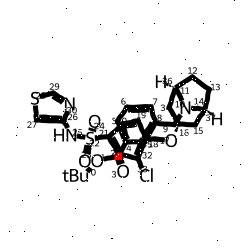 CC(C)(C)OC(=O)c1cccc(CN2[C@@H]3CC[C@H]2C[C@H](Oc2ccc(S(=O)(=O)Nc4cscn4)cc2Cl)C3)c1